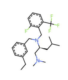 CCc1cccc(CN(Cc2c(F)cccc2C(F)(F)F)[C@@H](CC(C)C)CN(C)C)c1